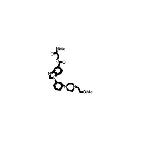 CNC(=O)COC(=O)c1ccc2c(c1)ncn2-c1cccc(N2CCN(CCOC)CC2)c1